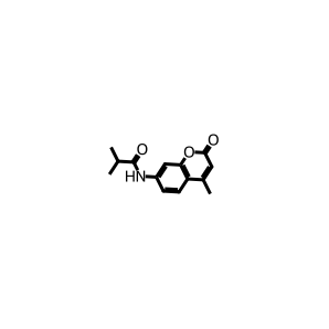 Cc1cc(=O)oc2cc(NC(=O)C(C)C)ccc12